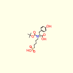 CC(C)(C)OC(=O)N(CCCCCS(=O)(=O)O)[C@@H](Cc1ccc(O)cc1)C(=O)O